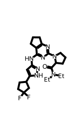 CCN(CC)C(=O)C1CCCN1c1nc2c(c(Nc3cc(C4CCC(F)(F)C4)[nH]n3)n1)CCC2